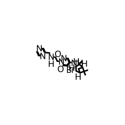 C[C@@H]1[C@H]2C[C@@H](C[C@H]1Nc1cnn(CC(=O)NCc3cnccn3)c(=O)c1Br)C2(C)C